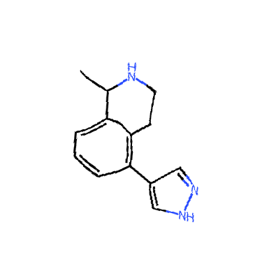 CC1NCCc2c(-c3cn[nH]c3)cccc21